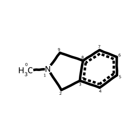 CN1Cc2ccccc2C1